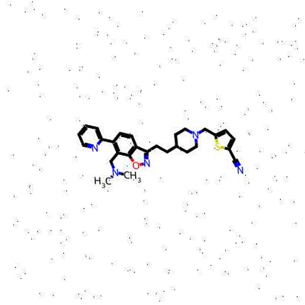 CN(C)Cc1c(-c2ccccn2)ccc2c(CCC3CCN(Cc4ccc(C#N)s4)CC3)noc12